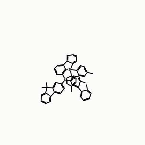 Cc1ccc([Si]2(c3ccc(C)cc3)c3ccccc3-c3cccc(N(c4ccc5c(c4)C(C)(C)c4ccccc4-5)c4ccc5sc6ccccc6c5c4)c32)cc1